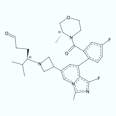 Cc1nc(F)c2c(-c3ccc(F)cc3C(=O)N3CCOC[C@H]3C)cc(C3CN([C@H](CCC=O)C(C)C)C3)cn12